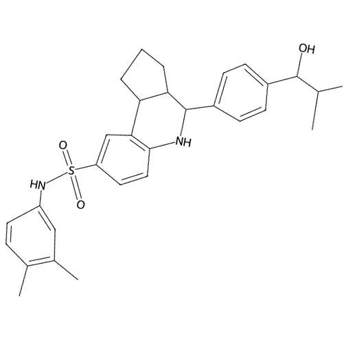 Cc1ccc(NS(=O)(=O)c2ccc3c(c2)C2CCCC2C(c2ccc(C(O)C(C)C)cc2)N3)cc1C